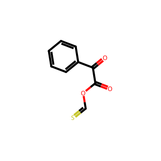 O=C(OC=S)C(=O)c1ccccc1